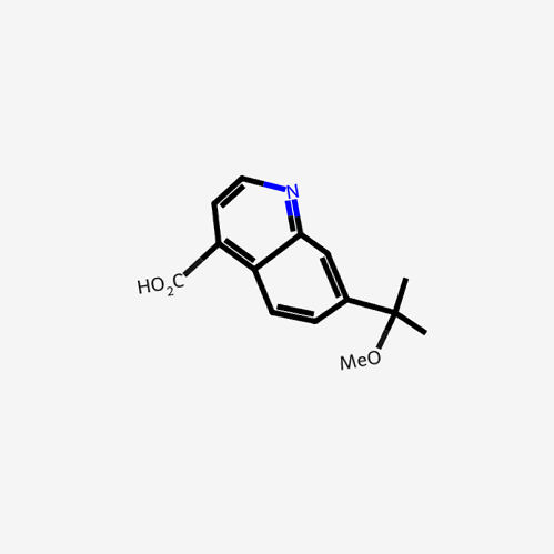 COC(C)(C)c1ccc2c(C(=O)O)ccnc2c1